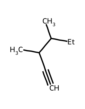 C#CC(C)C(C)C[CH2]